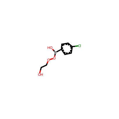 OCCOOB(O)c1ccc(Cl)cc1